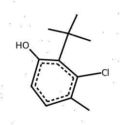 Cc1ccc(O)c(C(C)(C)C)c1Cl